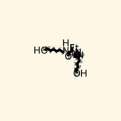 CCC(C(=O)NCCCCCCO)n1cc(CCCCO)nn1